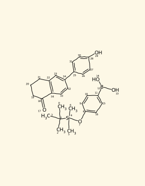 CC(C)(C)[Si](C)(C)Oc1ccc(B(O)O)cc1.O=C1CCCc2cc(-c3ccc(O)cc3)ccc21